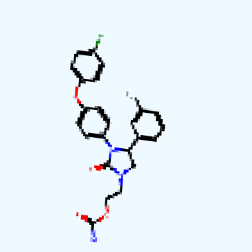 NC(=O)OCCN1CC(c2cccc(C(F)(F)F)c2)N(c2ccc(Oc3ccc(Cl)cc3)cc2)C1=O